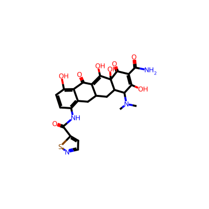 CN(C)C1C(O)=C(C(N)=O)C(=O)C2(O)C(O)=C3C(=O)c4c(O)ccc(NC(=O)c5ccns5)c4CC3CC12